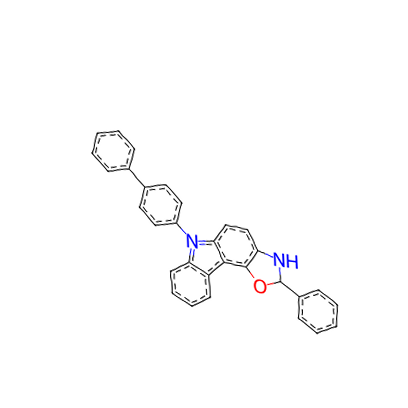 c1ccc(-c2ccc(-n3c4ccccc4c4c5c(ccc43)NC(c3ccccc3)O5)cc2)cc1